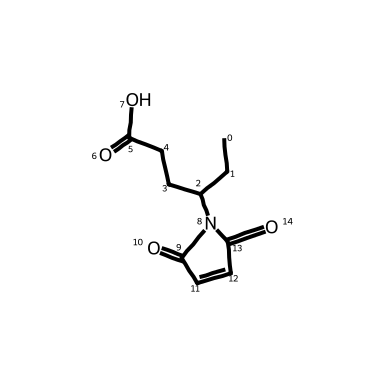 CCC(CCC(=O)O)N1C(=O)C=CC1=O